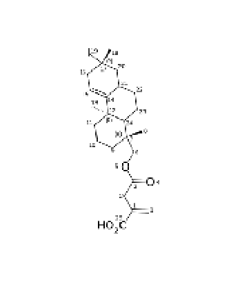 C=C(CC(=O)OC[C@]1(C)CCC[C@@]2(C)C3=CC[C@](C)(I)CC3CCC12)C(=O)O